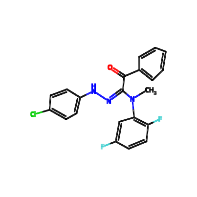 CN(/C(=N/Nc1ccc(Cl)cc1)C(=O)c1ccccc1)c1cc(F)ccc1F